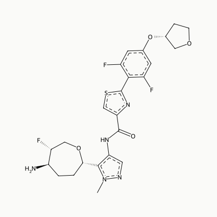 Cn1ncc(NC(=O)c2csc(-c3c(F)cc(O[C@@H]4CCOC4)cc3F)n2)c1[C@@H]1CC[C@@H](N)[C@H](F)CO1